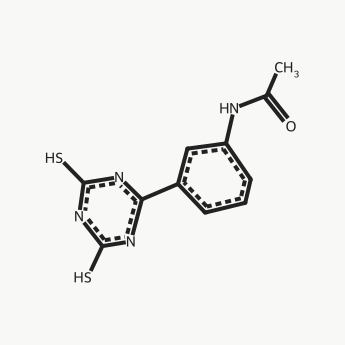 CC(=O)Nc1cccc(-c2nc(S)nc(S)n2)c1